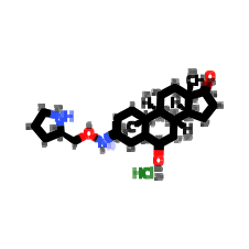 C[C@]12CC/C(=N\OC[C@H]3CCCN3)CC1C(=O)C[C@@H]1[C@@H]2CC[C@]2(C)C(=O)CC[C@@H]12.Cl